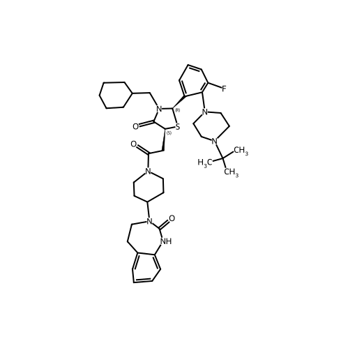 CC(C)(C)N1CCN(c2c(F)cccc2[C@H]2S[C@@H](CC(=O)N3CCC(N4CCc5ccccc5NC4=O)CC3)C(=O)N2CC2CCCCC2)CC1